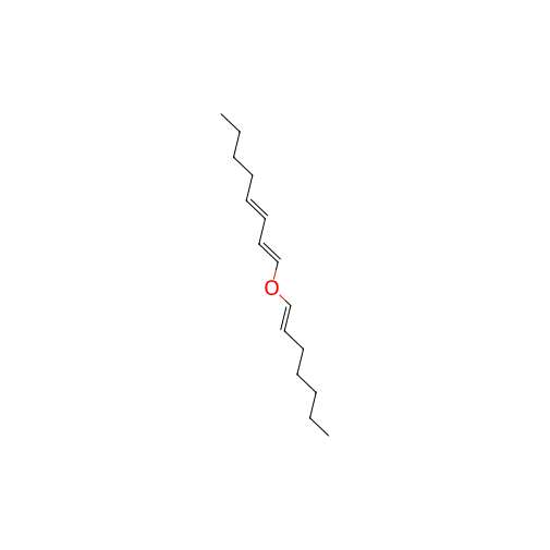 CCCCC=CC=COC=CCCCCC